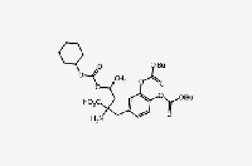 CC(C)COC(=O)Oc1ccc(CC(N)(C[C@H](C)OC(=O)OC2CCCCC2)C(=O)O)cc1OC(=O)OCC(C)C